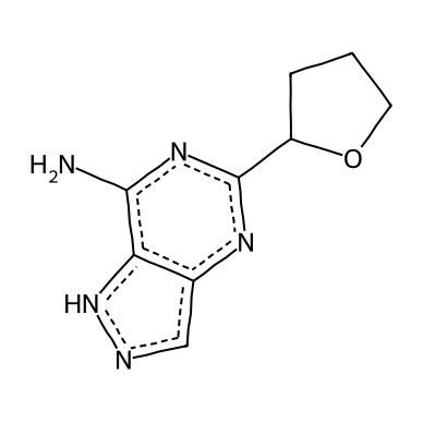 Nc1nc(C2CCCO2)nc2cn[nH]c12